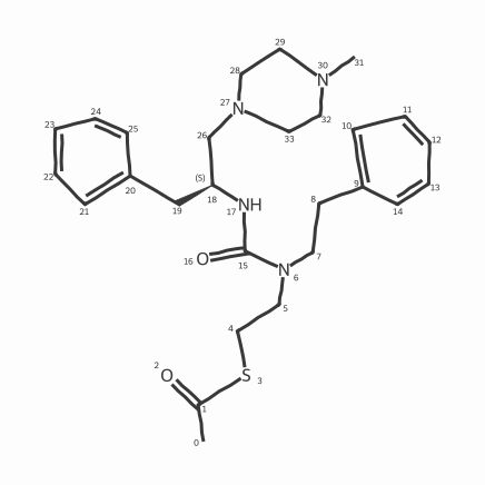 CC(=O)SCCN(CCc1ccccc1)C(=O)N[C@@H](Cc1ccccc1)CN1CCN(C)CC1